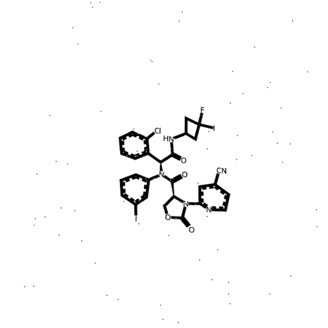 N#Cc1ccnc(N2C(=O)OC[C@H]2C(=O)N(c2cccc(I)c2)[C@H](C(=O)NC2CC(F)(I)C2)c2ccccc2Cl)c1